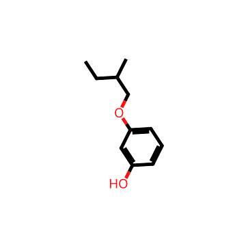 CCC(C)COc1cccc(O)c1